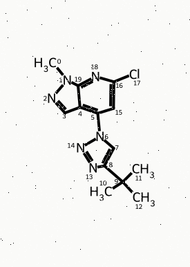 Cn1ncc2c(-n3cc(C(C)(C)C)nn3)cc(Cl)nc21